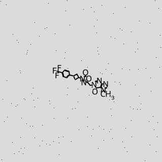 Cn1cnc2ncn(Cc3nn(C4CC(c5ccc(C(F)(F)F)cc5)C4)c(=O)o3)c(=O)c21